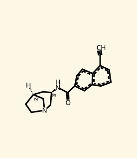 C#Cc1cccc2cc(C(=O)N[C@@H]3C[C@@H]4CCN(C4)C3)ccc12